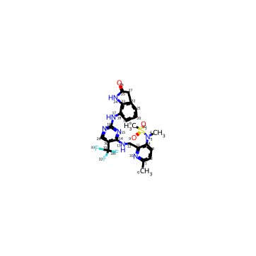 Cc1ccc(N(C)S(C)(=O)=O)c(CNc2nc(Nc3cccc4c3NC(=O)C4)ncc2C(F)(F)F)n1